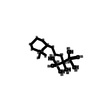 C[N+]1(C)CCCCC1CCCC(O)(P(=O)(O)O)P(=O)(O)O